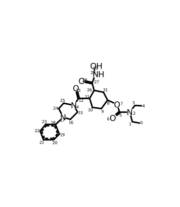 CCN(CC)C(=O)OC1CCC(C(=O)N2CCN(c3ccccc3)CC2)C(C(=O)NO)C1